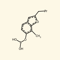 Cc1c(OB(O)O)ccc2cc(CC(C)C)oc12